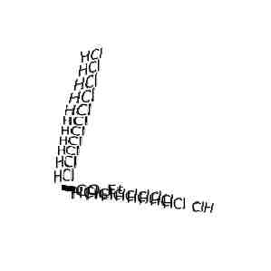 CCOC(C)=O.Cl.Cl.Cl.Cl.Cl.Cl.Cl.Cl.Cl.Cl.Cl.Cl.Cl.Cl.Cl.Cl.Cl.Cl.Cl.Cl